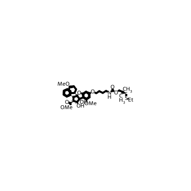 CCSSC(C)(C)COC(=O)NCCCCOc1cc(OC)c2c(c1)O[C@]1(C3C=CC(OC)=CC3)[C@@H](c3ccccc3)[C@H](C(=O)OC)[C@H](O)[C@]21O